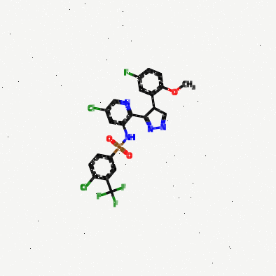 COc1ccc(F)cc1C1C=NN=C1c1ncc(Cl)cc1NS(=O)(=O)c1ccc(Cl)c(C(F)(F)F)c1